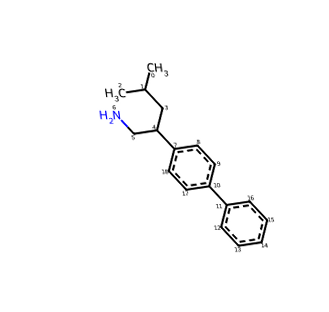 CC(C)CC(CN)c1ccc(-c2ccccc2)cc1